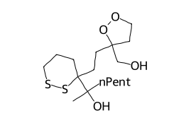 CCCCCC(C)(O)C1(CCC2(CO)CCOO2)CCCSS1